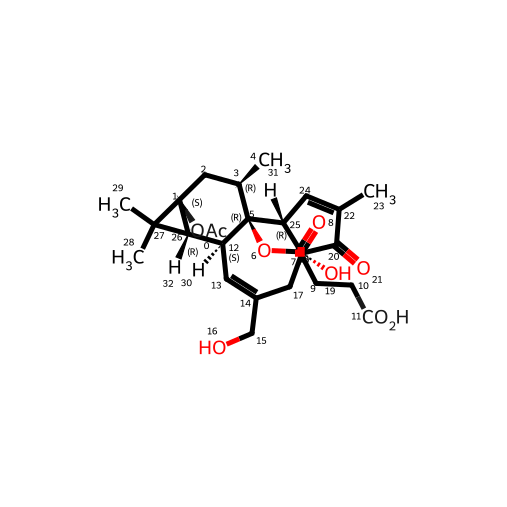 CC(=O)O[C@@]12C[C@@H](C)[C@@]3(OC(=O)CCC(=O)O)[C@@H](C=C(CO)C[C@]4(O)C(=O)C(C)=C[C@@H]34)[C@@H]1C2(C)C